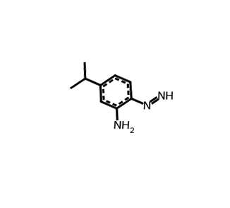 CC(C)c1ccc(N=N)c(N)c1